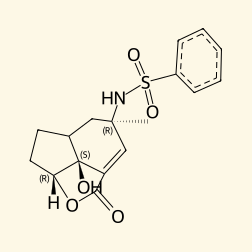 C[C@]1(NS(=O)(=O)c2ccccc2)C=C2C(=O)O[C@@H]3CCC(C1)[C@]23O